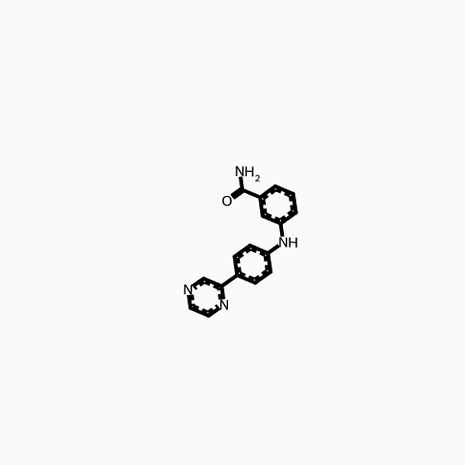 NC(=O)c1cccc(Nc2ccc(-c3cnccn3)cc2)c1